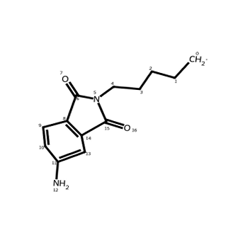 [CH2]CCCCN1C(=O)c2ccc(N)cc2C1=O